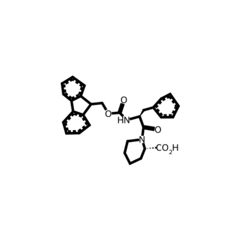 O=C(N[C@@H](Cc1ccccc1)C(=O)N1CCCC[C@H]1C(=O)O)OCC1c2ccccc2-c2ccccc21